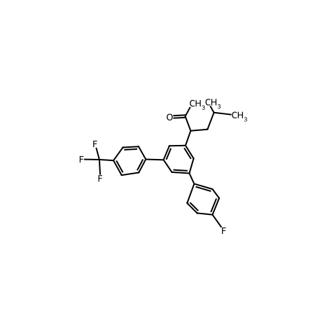 CC(=O)C(CC(C)C)c1cc(-c2ccc(F)cc2)cc(-c2ccc(C(F)(F)F)cc2)c1